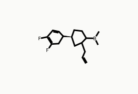 C=CCC1C[C@@H](C2C=CC(F)=C(F)C2)CCC1B(C)C